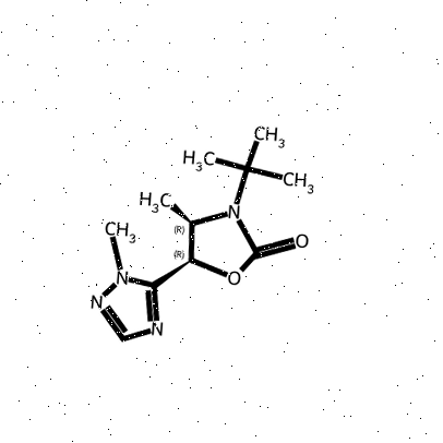 C[C@@H]1[C@H](c2ncnn2C)OC(=O)N1C(C)(C)C